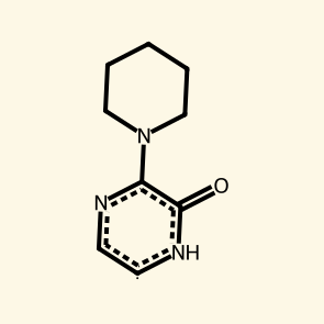 O=c1[nH][c]cnc1N1CCCCC1